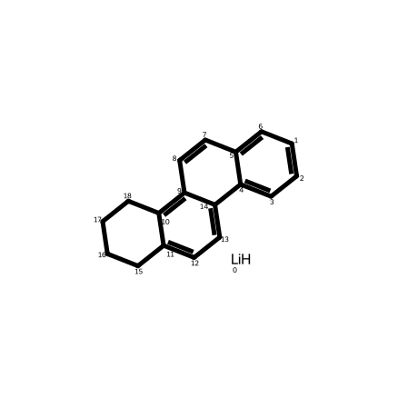 [LiH].c1ccc2c(c1)ccc1c3c(ccc12)CCCC3